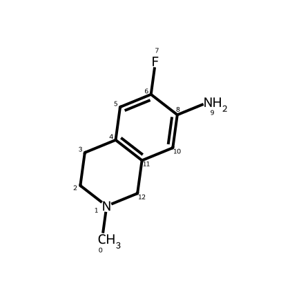 CN1CCc2cc(F)c(N)cc2C1